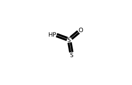 O=S(=P)=S